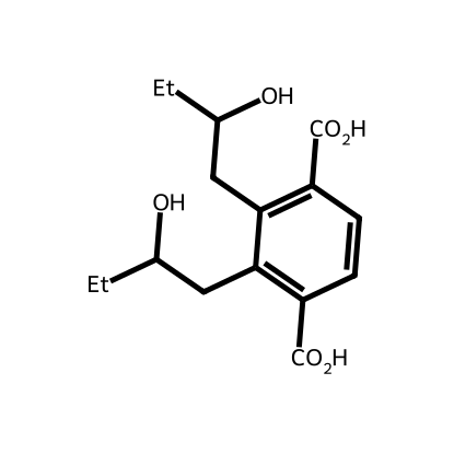 CCC(O)Cc1c(C(=O)O)ccc(C(=O)O)c1CC(O)CC